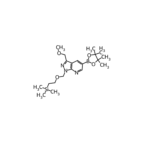 COCc1nn(COCC[Si](C)(C)C)c2ncc(B3OC(C)(C)C(C)(C)O3)cc12